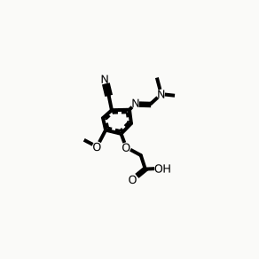 COc1cc(C#N)c(N=CN(C)C)cc1OCC(=O)O